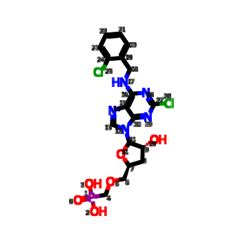 O=P(O)(O)COC[C@@H]1C[C@@H](O)C(n2cnc3c(NCc4ccccc4Cl)nc(Cl)nc32)O1